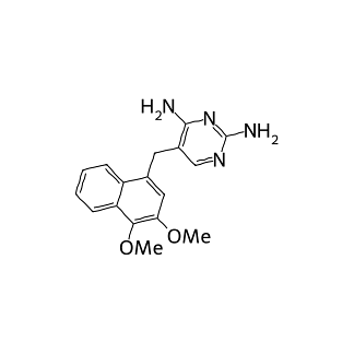 COc1cc(Cc2cnc(N)nc2N)c2ccccc2c1OC